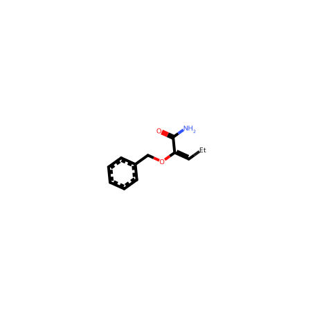 CC/C=C(/OCc1ccccc1)C(N)=O